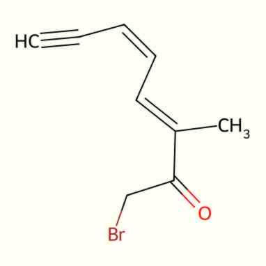 C#C/C=C\C=C(/C)C(=O)CBr